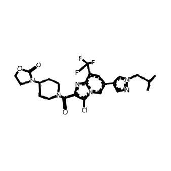 CC(C)Cn1cc(-c2cc(C(F)(F)F)c3nc(C(=O)N4CCC(N5CCOC5=O)CC4)c(Cl)n3c2)cn1